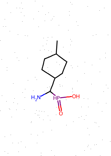 CC1CCC(C(N)[PH](=O)O)CC1